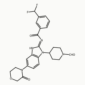 O=CN1CCC(n2/c(=N/C(=O)c3cccc(C(F)F)c3)[nH]c3cc(N4CCOCC4=O)ccc32)CC1